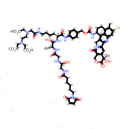 CC[C@@]1(O)C(=O)OCc2c1cc1n(c2=O)Cc2c-1nc1cc(F)c(C)c3c1c2[C@@H](NC(=O)OCc1ccc(NC(=O)[C@H](CCCCNC(=O)CN(CCN(CC(=O)O)CC(=O)O)CC(=O)O)NC(O)[C@@H](NC(=O)CNC(O)CNC(=O)CCCCCN2C(=O)C=CC2=O)C(C)C)cc1)CC3